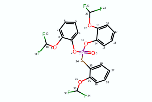 O=P(Oc1ccccc1OC(F)F)(Oc1ccccc1OC(F)F)Sc1ccccc1OC(F)F